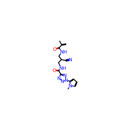 C=C(C)C(=O)NCC(C#N)CNC(=O)c1nnn(-c2cccn2C)n1